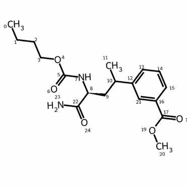 CCCCOC(=O)N[C@@H](CC(C)c1cccc(C(=O)OC)c1)C(N)=O